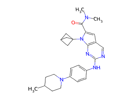 CC1CCN(c2ccc(Nc3ncc4cc(C(=O)N(C)C)n(C56CC(C5)C6)c4n3)cc2)CC1